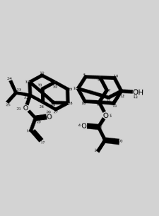 C=C(C)C(=O)OC12CC3CC(CC(O)(C3)C1)C2.C=CC(=O)OC1(C(C)C)C2CC3CC(C2)CC1C3